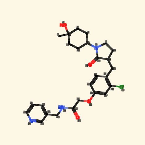 CC1(O)CCC(N2CCC(Cc3ccc(OCC(=O)NCc4cccnc4)cc3Cl)C2=O)CC1